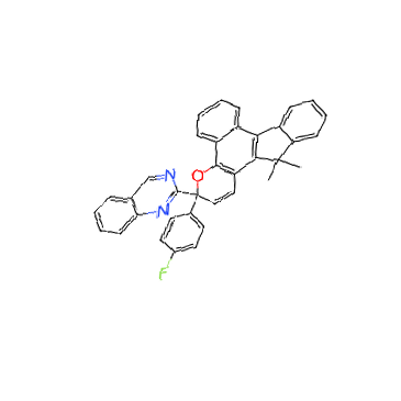 CC1(C)c2ccccc2-c2c1c1c(c3ccccc23)OC(c2ccc(F)cc2)(c2ncc3ccccc3n2)C=C1